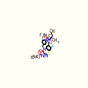 C#CCC(C)(C)c1nnc(-c2cc3c(cc2F)SC[C@H](NC(=O)OC(C)(C)C)C(=O)N3Cc2ccc(OC(F)(F)F)cc2)o1